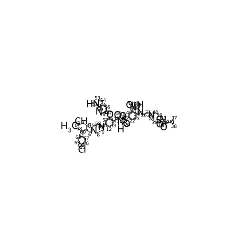 CC1(C)CCC(CN2CCN(c3ccc(C(=O)NS(=O)(=O)c4ccc(NCCN5CCS(=O)(=NC(=O)C6CC6)CC5)c([N+](=O)[O-])c4)c(Oc4cnc5[nH]ccc5c4)c3)CC2)=C(c2ccc(Cl)cc2)C1